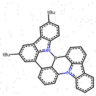 CC(C)(C)c1ccc2c(c1)c1cc(C(C)(C)C)cc3c1n2B1c2c-3cccc2-n2c3ccccc3c3cccc1c32